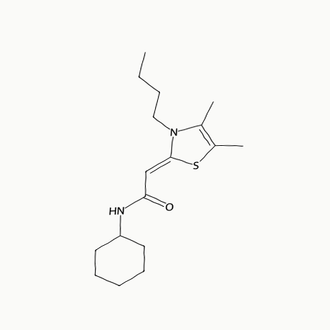 CCCCN1C(C)=C(C)S/C1=C\C(=O)NC1CCCCC1